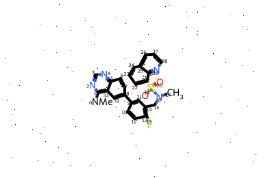 CNc1ncnc2ccc(-c3ccc(F)c(CN(C)S(=O)(=O)c4cccc5cccnc45)c3)cc12